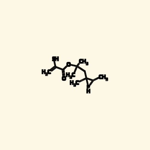 C=C(S)C(=O)OC(C)(C)CC1(C)PC1C